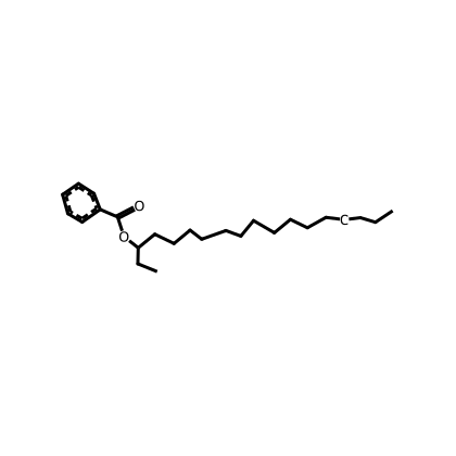 CCCCCCCCCCCCCCCC(CC)OC(=O)c1ccccc1